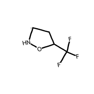 FC(F)(F)C1C[CH]NO1